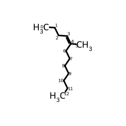 CCCC=C(C)CCCCCCC